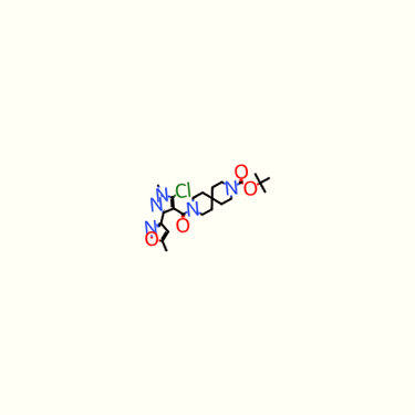 Cc1cc(-c2nn(C)c(Cl)c2C(=O)N2CCC3(CCN(C(=O)OC(C)(C)C)CC3)CC2)no1